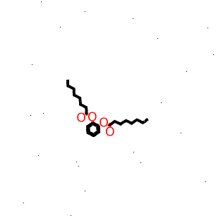 CCCCCCCC(=O)Oc1ccccc1OC(=O)CCCCCCC